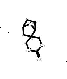 O=C1OCC2(CO1)CC1CCC2S1